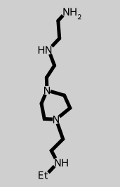 CCNCCN1CCN(CCNCCN)CC1